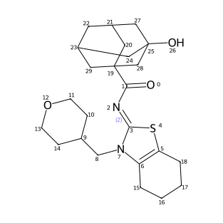 O=C(/N=c1\sc2c(n1CC1CCOCC1)CCCC2)C12CC3CC(CC(O)(C3)C1)C2